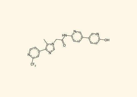 Cc1c(-c2ccnc(C(F)(F)F)c2)ncn1CC(=O)Nc1ccc(-c2ccc(O)nc2)cn1